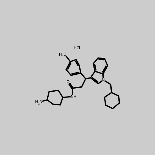 Cc1ccc(C(CC(=O)NC2CCC(N)CC2)c2cn(CC3CCCCC3)c3ccccc23)cc1.Cl